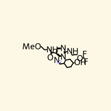 COCCNC(=O)c1cnc(NCCOC(F)F)nc1/N=C\C1CCC(O)CC1